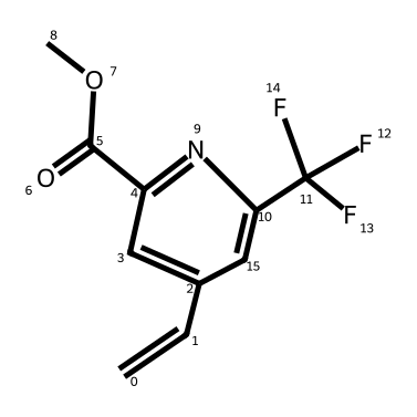 C=Cc1cc(C(=O)OC)nc(C(F)(F)F)c1